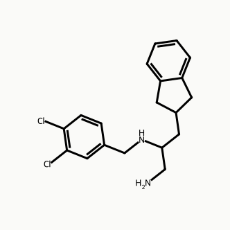 NCC(CC1Cc2ccccc2C1)NCc1ccc(Cl)c(Cl)c1